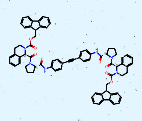 O=C(Nc1ccc(C#Cc2ccc(NC(=O)[C@@H]3CCCN3C(=O)[C@H]3c4ccccc4CCN3C(=O)OCC3c4ccccc4-c4ccccc43)cc2)cc1)[C@@H]1CCCN1C(=O)[C@H]1c2ccccc2CCN1C(=O)OCC1c2ccccc2-c2ccccc21